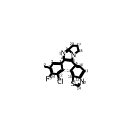 Cc1cc(-c2nc3n(c2-c2ccc4ncsc4c2)CCC3)cc(Cl)c1F